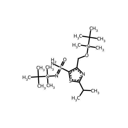 CC(C)c1nc(CO[Si](C)(C)C(C)(C)C)c(S(N)(=O)=N[Si](C)(C)C(C)(C)C)s1